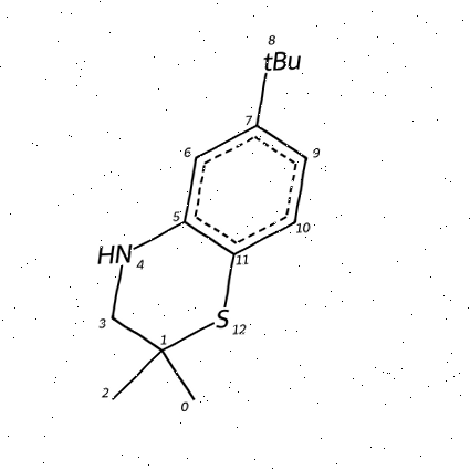 CC1(C)CNc2cc(C(C)(C)C)ccc2S1